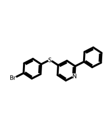 Brc1ccc(Sc2ccnc(-c3ccccc3)c2)cc1